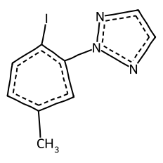 Cc1ccc(I)c(-n2nccn2)c1